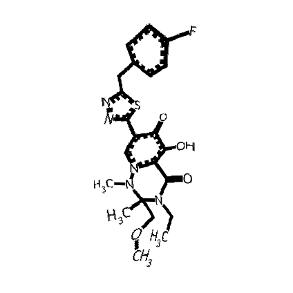 CCN1C(=O)c2c(O)c(=O)c(-c3nnc(Cc4ccc(F)cc4)s3)cn2N(C)C1(C)COC